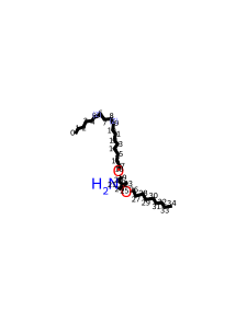 CCCCC/C=C\C/C=C\CCCCCCCCOCC(N)C(C)(C)OCCCCCCCCC